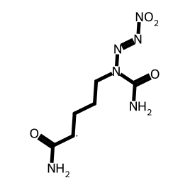 NC(=O)[CH]CCCN(N=N[N+](=O)[O-])C(N)=O